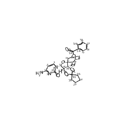 Nc1ccn([C@@H]2O[C@](CCl)(COC(=O)c3ccccc3)[C@H]3OC4(CCCC4)O[C@@H]23)c(=O)n1